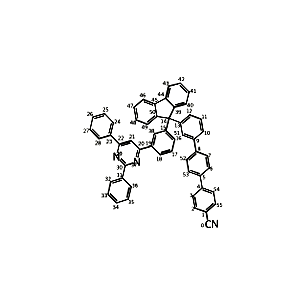 N#Cc1ccc(-c2ccc(-c3cccc(C4(c5cccc(-c6cc(-c7ccccc7)nc(-c7ccccc7)n6)c5)c5ccccc5-c5ccccc54)c3)cc2)cc1